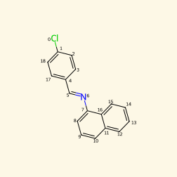 Clc1ccc(C=Nc2cccc3ccccc23)cc1